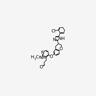 CNc1nccc(Oc2ccc3c(c2)CC(c2ncc(C4=CCCC=C4Cl)[nH]2)CO3)c1CCC=O